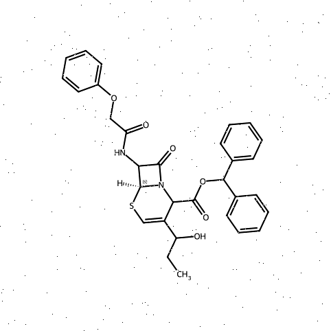 CCC(O)C1=CS[C@H]2C(NC(=O)COc3ccccc3)C(=O)N2C1C(=O)OC(c1ccccc1)c1ccccc1